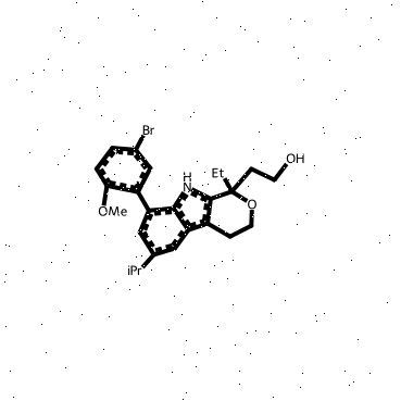 CCC1(CCO)OCCc2c1[nH]c1c(-c3cc(Br)ccc3OC)cc(C(C)C)cc21